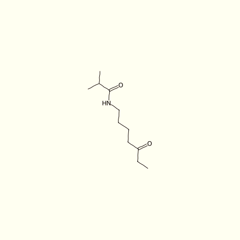 CCC(=O)CCCCNC(=O)C(C)C